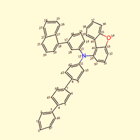 c1ccc(-c2ccc(-c3ccc(N(c4cccc(-c5cccc6ccccc56)c4)c4cccc5oc6ccccc6c45)cc3)cc2)cc1